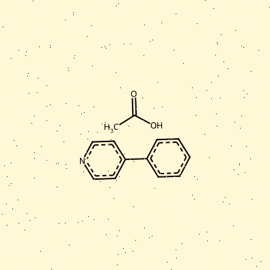 CC(=O)O.c1ccc(-c2ccncc2)cc1